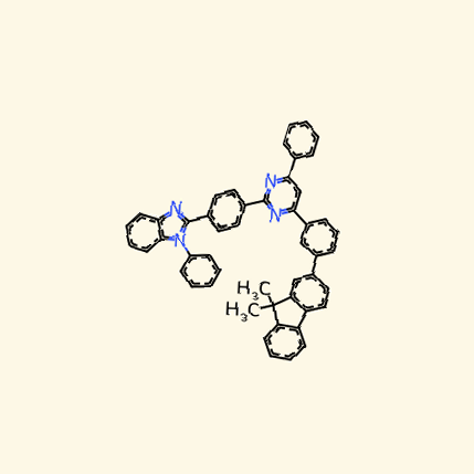 CC1(C)c2ccccc2-c2ccc(-c3cccc(-c4cc(-c5ccccc5)nc(-c5ccc(-c6nc7ccccc7n6-c6ccccc6)cc5)n4)c3)cc21